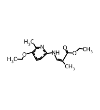 CCOC(=O)C(C)=CNc1ccc(OCC)c(C)n1